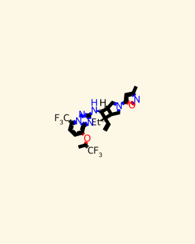 C=C[C@@]1(CC)C2CN(c3cc(C)no3)C[C@H]2[C@@H]1Nc1nc2c(OC(C)C(F)(F)F)ccc(C(F)(F)F)n2n1